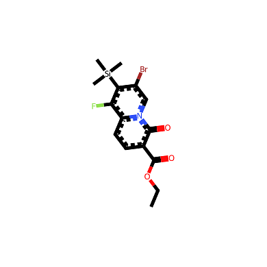 CCOC(=O)c1ccc2c(F)c([Si](C)(C)C)c(Br)cn2c1=O